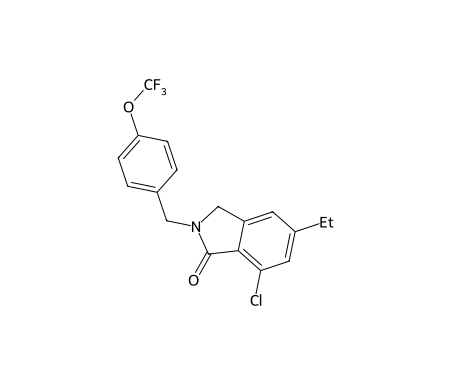 CCc1cc(Cl)c2c(c1)CN(Cc1ccc(OC(F)(F)F)cc1)C2=O